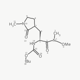 CON(C)C(=O)[C@H](CC1CCN(C)C1=O)NC(=O)OC(C)(C)C